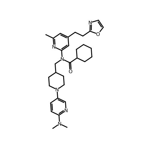 Cc1cc(CCc2ncco2)cc(N(CC2CCN(c3ccc(N(C)C)nc3)CC2)C(=O)C2CCCCC2)n1